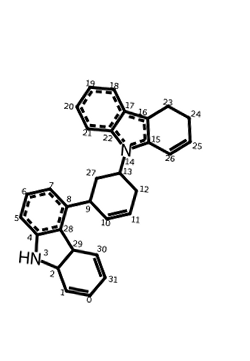 C1=CC2Nc3cccc(C4C=CCC(n5c6c(c7ccccc75)CCC=C6)C4)c3C2C=C1